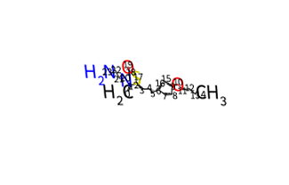 C=c1/c(=C/CCc2ccc(OCCCC)cc2)sc(=O)n1CCN